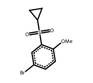 COc1ccc(Br)cc1S(=O)(=O)C1CC1